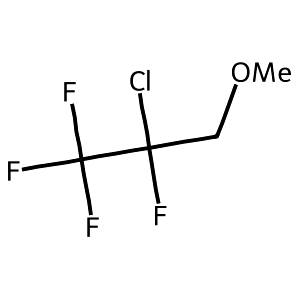 COCC(F)(Cl)C(F)(F)F